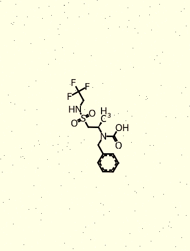 C[C@H](CS(=O)(=O)NCC(F)(F)F)N(Cc1ccccc1)C(=O)O